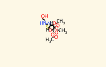 CC(=O)OC[C@H]1O[C@@H]2SC(NCCO)=N[C@@H]2[C@@H](OC(C)=O)[C@@H]1OC(C)=O